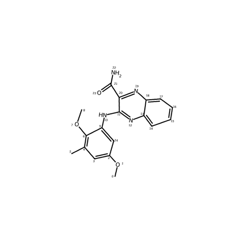 COc1cc(C)c(OC)c(Nc2nc3ccccc3nc2C(N)=O)c1